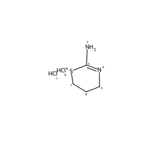 Cl.Cl.NC1=NCCCS1